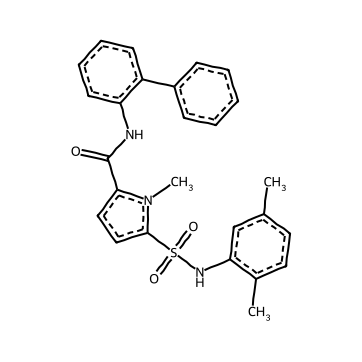 Cc1ccc(C)c(NS(=O)(=O)c2ccc(C(=O)Nc3ccccc3-c3ccccc3)n2C)c1